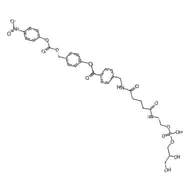 O=C(CCCC(=O)NCc1ccc(C(=O)Oc2ccc(COC(=O)Oc3ccc([N+](=O)[O-])cc3)cc2)cc1)NCCOP(=O)(O)OCC(O)CO